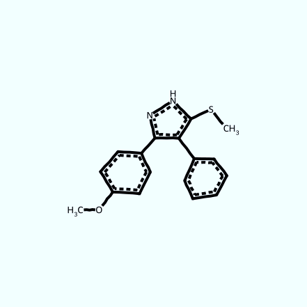 COc1ccc(-c2n[nH]c(SC)c2-c2ccccc2)cc1